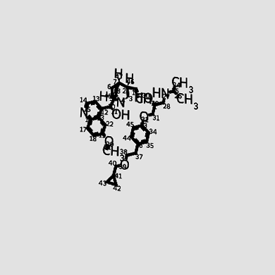 C=C[C@H]1C[N@]2CC[C@H]1C[C@@H]2[C@@H](O)c1ccnc2ccc(OC)cc12.CC(C)NCC(O)COc1ccc(CCOCC2CC2)cc1